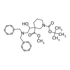 COC(=O)C1(C(O)CN(Cc2ccccc2)Cc2ccccc2)CCCN(C(=O)OC(C)(C)C)C1